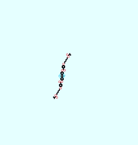 C=C(C)C(=O)OCCCCCCOc1ccc(C(=O)Oc2ccc(C(c3ccc(OC(=O)c4ccc(OCCCCCCOC(=O)C(=C)C)cc4)cc3)(C(F)(F)F)C(F)(F)F)cc2)cc1